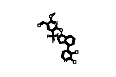 COc1nc(O[C@H]2CCc3c(-c4ccnc(Cl)c4Cl)cccc32)c(C(F)(F)F)cc1C=O